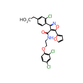 O=C(O)Cc1ccc(-c2noc(-c3ccco3)c2C(=O)NCCOc2ccc(Cl)cc2Cl)c(Cl)c1